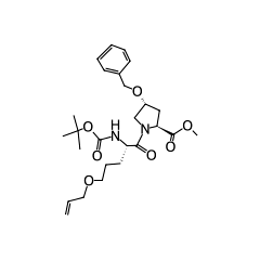 C=CCOCCC[C@H](NC(=O)OC(C)(C)C)C(=O)N1C[C@H](OCc2ccccc2)C[C@H]1C(=O)OC